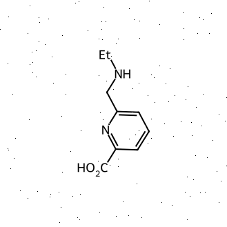 CCNCc1cccc(C(=O)O)n1